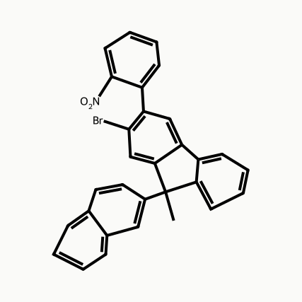 CC1(c2ccc3ccccc3c2)c2ccccc2-c2cc(-c3ccccc3[N+](=O)[O-])c(Br)cc21